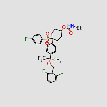 CCNC(=O)OC1CCC(c2ccc(C(OCc3c(F)cccc3F)(C(F)(F)F)C(F)(F)F)cc2)(S(=O)(=O)c2ccc(F)cc2)CC1